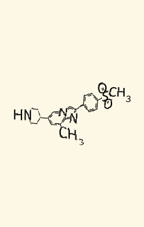 Cc1cc(C2CCNCC2)cn2cc(-c3ccc(S(C)(=O)=O)cc3)nc12